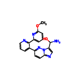 COc1cccc(-c2ncccc2-c2ccc3ncc(C(N)O)n3n2)n1